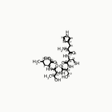 CC(C)C[C@H](NC(=O)[C@@H](NC(=O)[C@H](CO)NC(=O)[C@H](CS)NC(=O)[C@@H](N)Cc1c[nH]cn1)[C@@H](C)O)C(=O)O